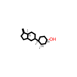 C=C1CCC2CC([C@@]3(C)CC[C@H](O)C[C@@H]3C)CC[C@]12C